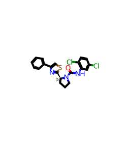 O=C(Nc1cc(Cl)ccc1Cl)N1CCC[C@H]1c1nc(-c2ccccc2)cs1